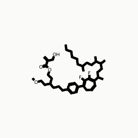 C=C(CO)C(=O)OCCC(CCCc1ccc(C2=C(F)C(F)=C(C(C)CCC(C)C(C)CCC(C)CCCCCC)C=CC2)cc1)CCOC